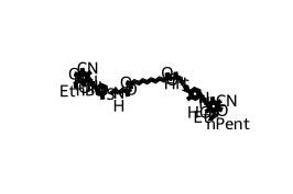 CCCCCC(CC)Cn1c(O)c(N=Nc2ccc(CSNCC(C)OC(=O)CCCCCCCCC(=O)OC(C)CNCSc3ccc(N=Nc4c(C)c(C#N)c(=O)n(CC(CC)CCCC)c4O)cc3C)c(C)c2)c(C)c(C#N)c1=O